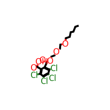 CCCCCCOCCOCCOC(=O)c1c(Cl)c(Cl)c(Cl)c(Cl)c1C(=O)O